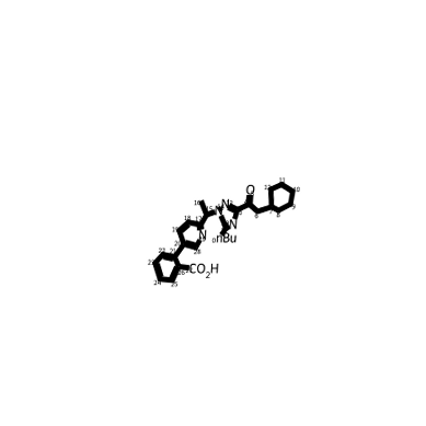 CCCCc1nc(C(=O)CC2CCCCC2)nn1C(C)c1ccc(-c2ccccc2C(=O)O)cn1